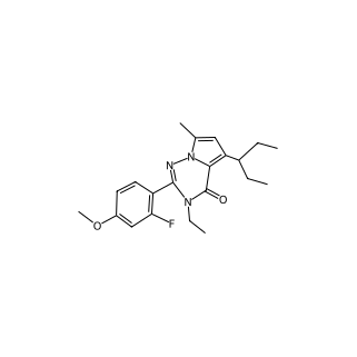 CCC(CC)c1cc(C)n2nc(-c3ccc(OC)cc3F)n(CC)c(=O)c12